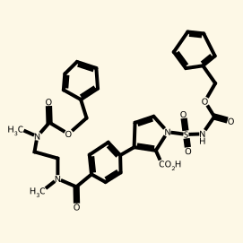 CN(CCN(C)C(=O)c1ccc(-c2ccn(S(=O)(=O)NC(=O)OCc3ccccc3)c2C(=O)O)cc1)C(=O)OCc1ccccc1